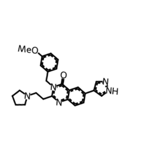 COc1cccc(Cn2c(CCN3CCCC3)nc3ccc(-c4cn[nH]c4)cc3c2=O)c1